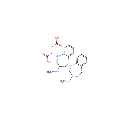 CNC1CCc2ccccc2NC1.CNC1CCc2ccccc2NC1.O=C(O)C=CC(=O)O